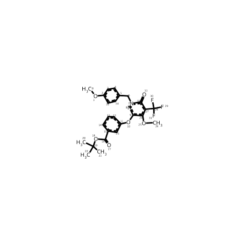 COc1ccc(Cn2nc(Oc3cccc(C(=O)OC(C)(C)C)c3)c(OC)c(C(F)(F)F)c2=O)cc1